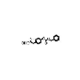 N[C@H]([C]=O)Cc1ccc(OC(=O)OCc2ccccc2)cc1